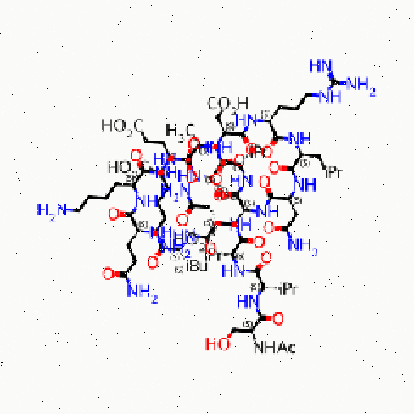 CC[C@H](C)[C@H](NC(=O)[C@H](CCC(=O)O)NC(=O)[C@H](CCCCN)NC(=O)[C@H](CCC(N)=O)NC(=O)[C@@H](NC(=O)[C@H](CC(N)=O)NC(=O)[C@@H](NC(=O)[C@@H](NC(=O)[C@H](CO)NC(C)=O)C(C)C)C(C)C)[C@@H](C)CC)C(=O)N[C@@H](CC(=O)O)C(=O)N[C@@H](CCCNC(=N)N)C(=O)N[C@@H](CC(C)C)C(=O)N[C@@H](CC(N)=O)C(=O)N[C@@H](CCC(=O)O)C(=O)N[C@H](C(=O)N[C@@H](C)C(=O)N[C@@H](CCCCN)C(=O)O)C(C)C